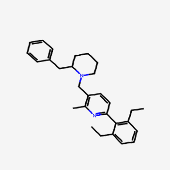 CCc1cccc(CC)c1-c1ccc(CN2CCCCC2Cc2ccccc2)c(C)n1